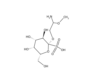 COC(N)CO[C@]1(S(=O)(=O)O)O[C@H](CO)[C@H](O)[C@H](O)[C@H]1O